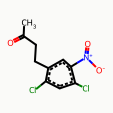 CC(=O)CCc1cc([N+](=O)[O-])c(Cl)cc1Cl